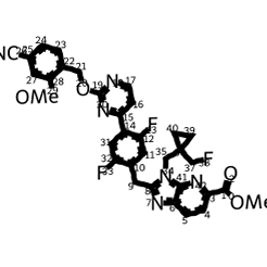 COC(=O)c1ccc2nc(Cc3cc(F)c(-c4ccnc(OCc5ccc(C#N)cc5OC)n4)cc3F)n(CC3(CF)CC3)c2n1